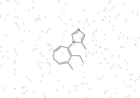 CCC1=C(n2cncc2C)C=CCC=C1C